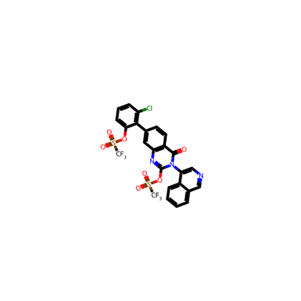 O=c1c2ccc(-c3c(Cl)cccc3OS(=O)(=O)C(F)(F)F)cc2nc(OS(=O)(=O)C(F)(F)F)n1-c1cncc2ccccc12